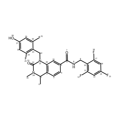 CC1c2ccc(C(=O)NCc3c(F)cc(F)cc3F)cc2N(Cc2c(F)cc(O)cc2F)C(=O)N1C